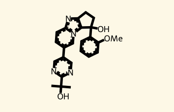 COc1ccccc1C1(O)CCc2nc3ccc(-c4cnc(C(C)(C)O)nc4)cn3c21